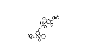 COc1cc(NC(=O)CCCc2cccc(C3(C(=O)OCC45CCN(CC4)CC5)CCCCC3)c2)c(Cl)cc1CO[Si](C)(C)C(C)(C)C